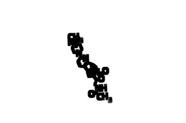 CN=S1(=O)CCN(c2ccc3c(n2)C2=C(F)/C3=C3\C=C2N2C(=O)O[C@@H](CNC(C)=O)C32)CC1